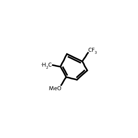 [CH2]c1cc(C(F)(F)F)ccc1OC